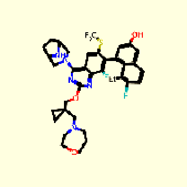 CCc1c(F)ccc2cc(O)cc(-c3c(SC(F)(F)F)cc4c(N5CC6CCC(C5)N6)nc(OCC5(CN6CCCOCC6)CC5)nc4c3F)c12